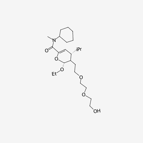 CCO[C@@H]1OC(C(=O)N(C)C2CCCCC2)=C[C@H](C(C)C)C1CCOCCOCCO